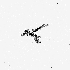 CCCCCCCCCCCCCCCCCC(=O)OC[C@H](CCOC(=O)[C@@H](NC(=O)OC(C)(C)C)C(C)C)Cn1cnc2cnc(N)nc21